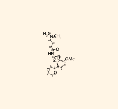 COc1ccc(C2COCCO2)c2sc(NC(=O)CCCN(C)C)nc12